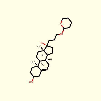 C[C@]12CC[C@H](O)CC1=CC[C@@H]1[C@@H]2CC[C@@]2(C)[C@H]1CC[C@@]2(O)CCCOC1CCCCO1